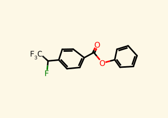 O=C(Oc1ccccc1)c1ccc(C(F)C(F)(F)F)cc1